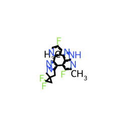 Cc1nc2[nH]nc(C)c2c(-c2c(-c3ccc(F)cn3)nn3c2CC2(C3)CC2(F)F)c1F